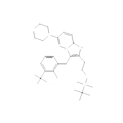 Cc1c(CC2=C(CCO[Si](C)(C)C(C)(C)C)NC3C=CC(N4CCOCC4)=NN23)cccc1C(F)(F)F